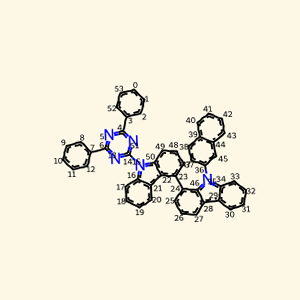 c1ccc(-c2nc(-c3ccccc3)nc(-n3c4ccccc4c4c(-c5cccc6c7ccccc7n(-c7ccc8ccccc8c7)c56)cccc43)n2)cc1